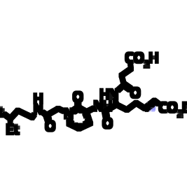 CCOC(=O)/C=C/CCC(NC(=O)CCC(=O)O)C(=O)Nc1cccn(CC(=O)NCCC(CC)CC)c1=O